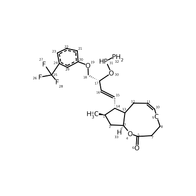 C[C@@H]1C[C@@H]2OC(=O)CCC/C=C\CC2[C@H]1/C=C/[C@H](COc1cccc(C(F)(F)F)c1)OPP